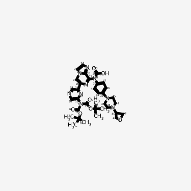 CC(C)(C)OC(=O)N(C(=O)OC(C)(C)C)c1cncc(-c2cn3ccnc3c(N(C(=O)O)c3ccc(N4CCN(C5COC5)CC4)cc3)n2)n1